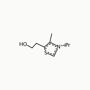 Cc1c(CCO)sc[n+]1C(C)C